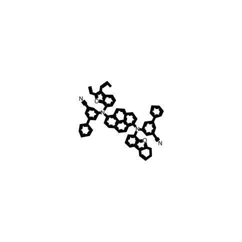 C=Cc1oc2c(N(c3cc(C#N)cc(-c4ccccc4)c3)c3ccc4ccc5c(N(c6cc(C#N)cc(-c7ccccc7)c6)c6cccc7c8c(oc67)CCC=C8)ccc6ccc3c4c65)cccc2c1/C=C\C